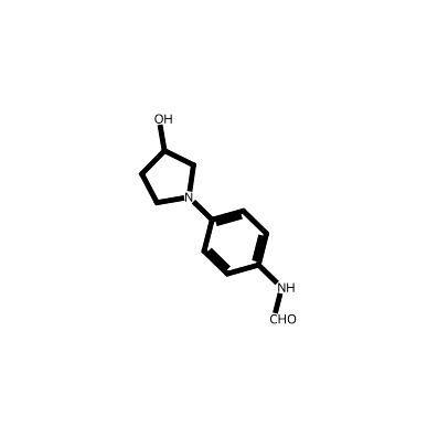 O=CNc1ccc(N2CCC(O)C2)cc1